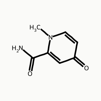 Cn1ccc(=O)cc1C(N)=O